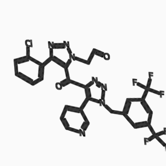 O=CCn1nnc(-c2ccccc2Cl)c1C(=O)c1nnn(Cc2cc(C(F)(F)F)cc(C(F)(F)F)c2)c1-c1cccnc1